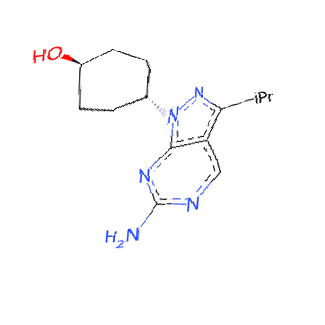 CC(C)c1nn([C@H]2CC[C@H](O)CC2)c2nc(N)ncc12